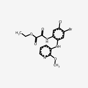 CCOC(=O)C(=O)Nc1cc(Cl)c(Br)cc1Nc1cccnc1OC